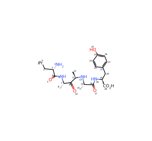 CC(C)C[C@H](N)C(=O)N[C@@H](C)C(=O)[C@@H](C)N[C@@H](C)C(=O)N[C@@H](Cc1ccc(O)cc1)C(=O)O